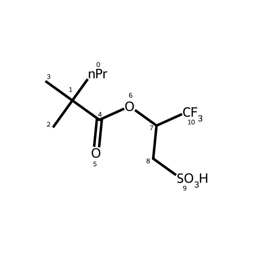 CCCC(C)(C)C(=O)OC(CS(=O)(=O)O)C(F)(F)F